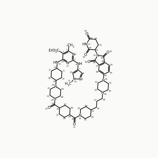 CCOC(=O)c1c(C)nc(Nc2cnn(C)c2)nc1NC1CCC(N2CCN(C(=O)C3CCC(C(=O)N4CCC(CCCN5CCN(c6ccc7c(c6)C(=O)N(C6CCC(=O)NC6=O)C7=O)CC5)CC4)CC3)CC2)CC1